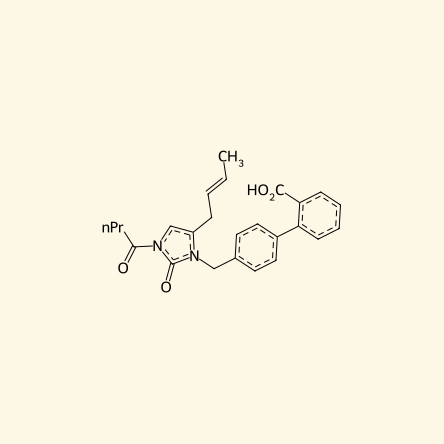 CC=CCc1cn(C(=O)CCC)c(=O)n1Cc1ccc(-c2ccccc2C(=O)O)cc1